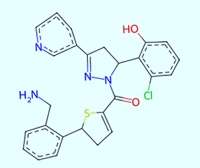 NCc1ccccc1C1CC=C(C(=O)N2N=C(c3cccnc3)CC2c2c(O)cccc2Cl)S1